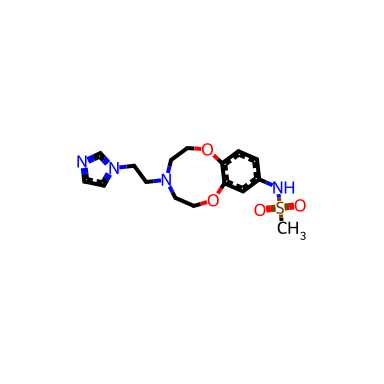 CS(=O)(=O)Nc1ccc2c(c1)OCCN(CCn1ccnc1)CCO2